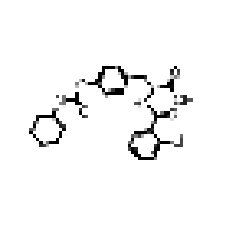 O=C(NC1CCCCC1)Oc1ccc(C[C@H](NC(=O)c2ccccc2Cl)C(=O)O)cc1